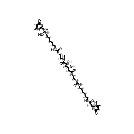 Cc1cc(=O)nc(NC(=O)NCCCCCCNC(=O)OCCNC(=O)C[C@@H](O)C[C@H](O)C(=O)NCCOC(=O)NCCCCCCNC(O)Nc2nc(=O)cc(C)[nH]2)[nH]1